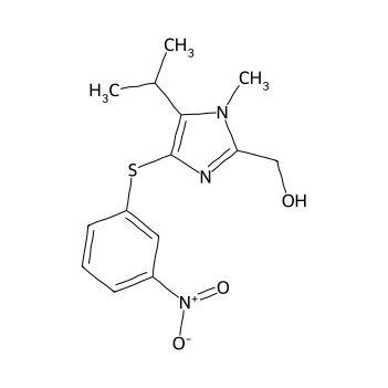 CC(C)c1c(Sc2cccc([N+](=O)[O-])c2)nc(CO)n1C